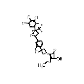 CCOC1=C(N2CC3(C2)OCc2cc(C4=NSC(c5cc(Cl)c(F)c(Cl)c5)(C(F)(F)F)C4)ccc23)C(=O)C1O